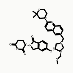 COC[C@@H]1CN(Cc2ccc3nc([C@@H]4CCOC(C)(C)C4)ccc3c2)C[C@H]1Oc1ccc2c(c1)CN([C@H]1CCC(=O)NC1=O)C2=O